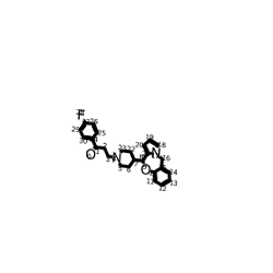 O=C(CCN1CCC(C2Oc3ccccc3Cn3cccc32)CC1)c1ccc(F)cc1